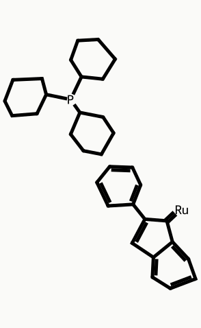 C1CCC(P(C2CCCCC2)C2CCCCC2)CC1.[Ru]=[C]1C(c2ccccc2)=Cc2ccccc21